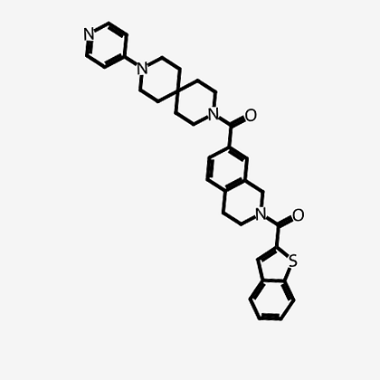 O=C(c1ccc2c(c1)CN(C(=O)c1cc3ccccc3s1)CC2)N1CCC2(CC1)CCN(c1ccncc1)CC2